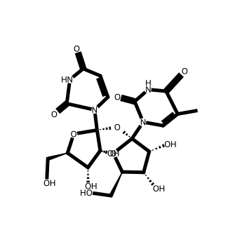 Cc1cn([C@]2(O[C@@]3(n4ccc(=O)[nH]c4=O)O[C@H](CO)[C@@H](O)[C@H]3O)O[C@H](CO)[C@@H](O)[C@H]2O)c(=O)[nH]c1=O